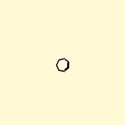 C1=CSCCCN=1